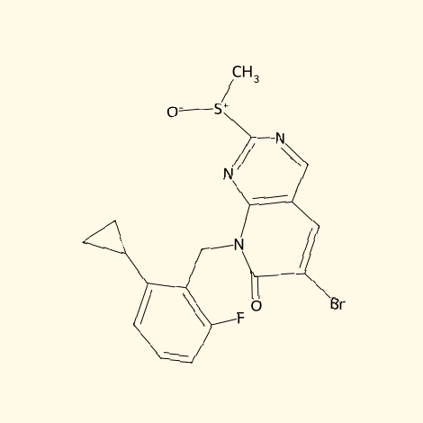 C[S+]([O-])c1ncc2cc(Br)c(=O)n(Cc3c(F)cccc3C3CC3)c2n1